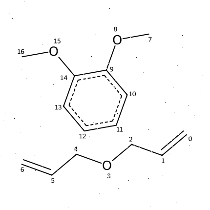 C=CCOCC=C.COc1ccccc1OC